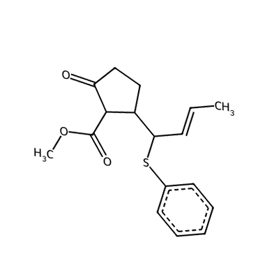 C/C=C/C(Sc1ccccc1)C1CCC(=O)C1C(=O)OC